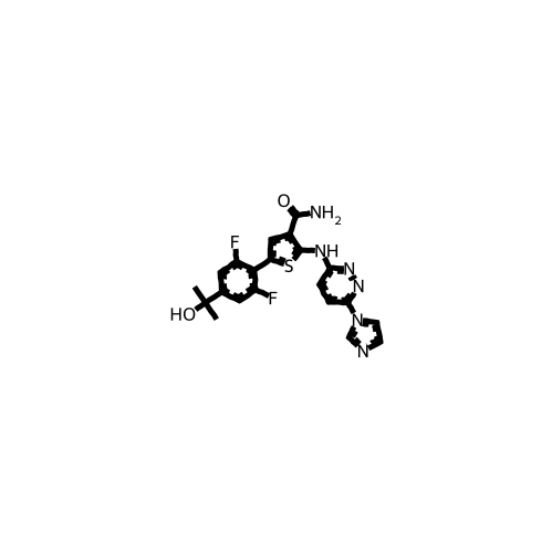 CC(C)(O)c1cc(F)c(-c2cc(C(N)=O)c(Nc3ccc(-n4ccnc4)nn3)s2)c(F)c1